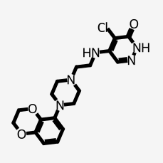 O=c1[nH]ncc(NCCN2CCN(c3cccc4c3OCCO4)CC2)c1Cl